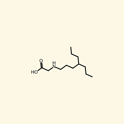 CCCC(CCC)CCCNCC(=O)O